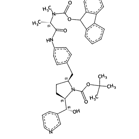 C[C@@H](C(=O)Nc1ccc(C[C@@H]2CC[C@H]([C@H](O)c3cccnc3)N2C(=O)OC(C)(C)C)cc1)N(C)C(=O)OC1c2ccccc2-c2ccccc21